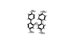 CC(C)(C)c1ccc(-c2ccc(C(C)(C)C)cc2Oc2cc(C(C)(C)C)ccc2-c2ccc(C(C)(C)C)cc2)cc1